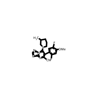 COc1cc(F)c(-c2c(C#N)nc3ncnn3c2N2CCCC(C)C2)cc1F